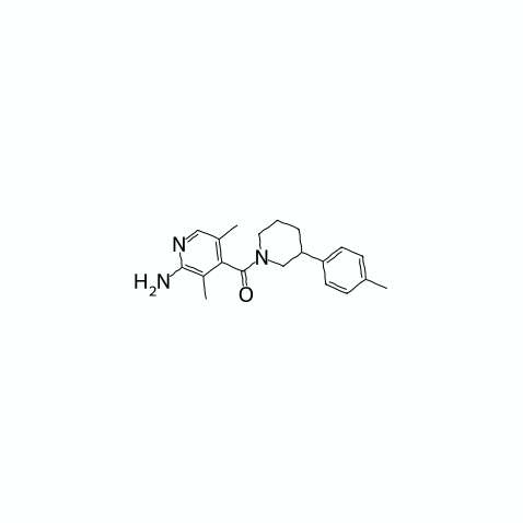 Cc1ccc(C2CCCN(C(=O)c3c(C)cnc(N)c3C)C2)cc1